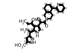 C=C/C(OC)=c1/c(C(=O)C(=O)N2CCC3=C(CCC=C3c3ccccn3)C2)c[nH]/c1=C(/N)c1cc(C(=O)O)[nH]n1